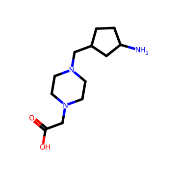 NC1CCC(CN2CCN(CC(=O)O)CC2)C1